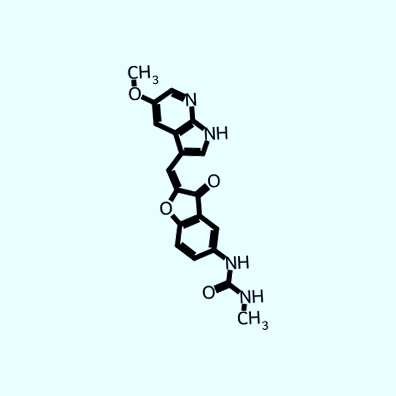 CNC(=O)Nc1ccc2c(c1)C(=O)C(=Cc1c[nH]c3ncc(OC)cc13)O2